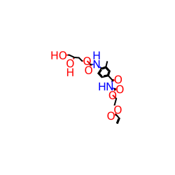 C=CC(=O)OCCOC(=O)NC(=O)c1ccc(NC(=O)OCCC(O)CO)c(C)c1